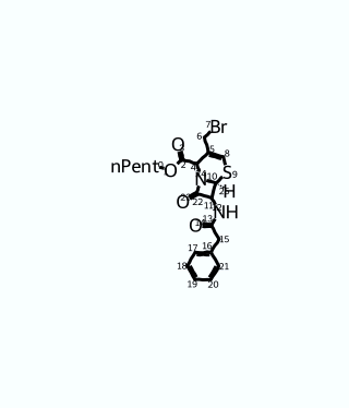 CCCCCOC(=O)C1C(CBr)=CS[C@H]2C(NC(=O)Cc3ccccc3)C(=O)N12